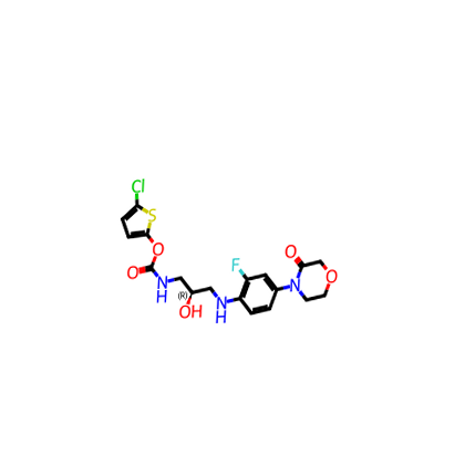 O=C(NC[C@H](O)CNc1ccc(N2CCOCC2=O)cc1F)Oc1ccc(Cl)s1